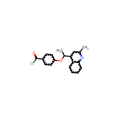 Cc1cc(C(C)Oc2ccc(C(=O)Cl)cc2)c2ccccc2n1